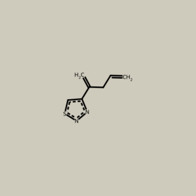 C=CCC(=C)c1csnn1